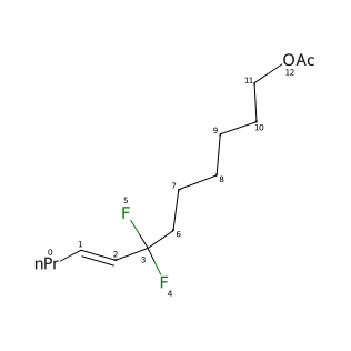 CCCC=CC(F)(F)CCCCCCOC(C)=O